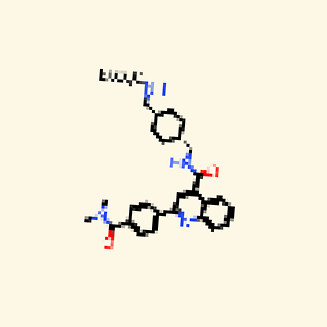 CCOC(=O)NC[C@H]1CC[C@H](CNC(=O)c2cc(-c3ccc(C(=O)N(C)C)cc3)nc3ccccc23)CC1